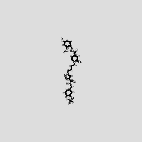 COc1ccc(CNC(=O)c2ccn(CCCCn3cc(C(=O)NCc4cccc(OC(F)(F)F)c4)nn3)c(=O)c2)c(OC)c1